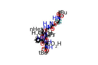 CCCCCCC(OCCNC(=O)[C@@H](N)COCC(F)(F)CNC(=O)OC(C)(C)C)[C@H](C)C(=O)N(C)[C@H](CC(C)C)C(=O)N[C@H](C(=O)N[C@H](CNC(=O)OC(C)(C)C)C(=O)O)C1CCCCC1